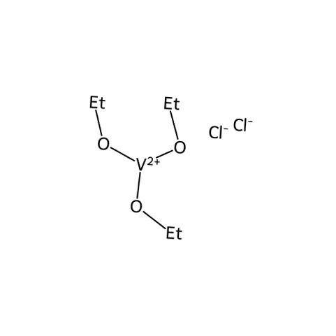 CC[O][V+2]([O]CC)[O]CC.[Cl-].[Cl-]